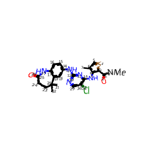 CNC(=O)c1scc(C)c1Nc1nc(Nc2ccc3c(c2)C(C)(C)CCC(=O)N3)ncc1Cl